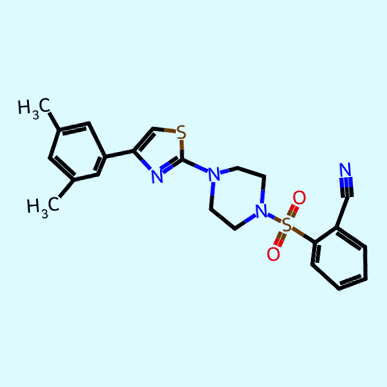 Cc1cc(C)cc(-c2csc(N3CCN(S(=O)(=O)c4ccccc4C#N)CC3)n2)c1